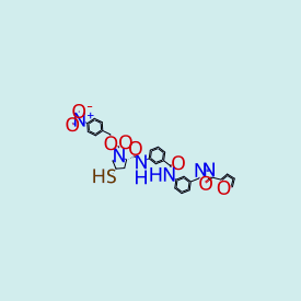 O=C(Nc1cccc(-c2nnc(-c3ccco3)o2)c1)c1cccc(NC(=O)[C@@H]2C[C@H](S)CN2C(=O)OCc2ccc([N+](=O)[O-])cc2)c1